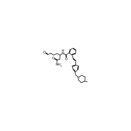 CC1CCN(Cc2ccc(/C=C/c3ccccc3C(=O)NC(CCCC=O)CC(N)=O)cc2)CC1